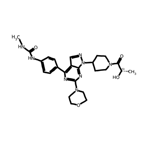 CNC(=O)Nc1ccc(-c2nc(N3CCOCC3)nc3c2cnn3C2CCN(C(=O)[C@H](C)O)CC2)cc1